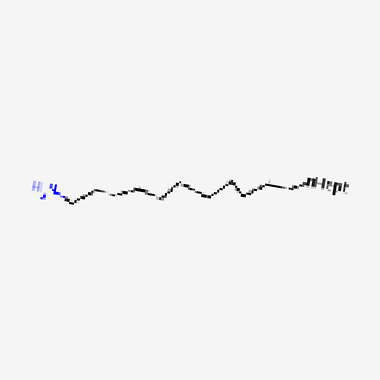 CCCCCCCC[CH]CCCCCCCCCN